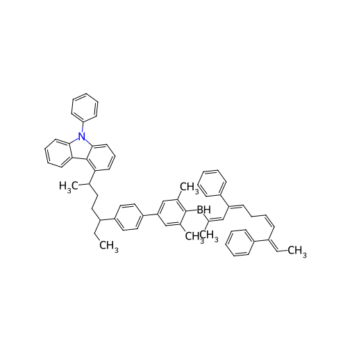 C/C=C(\C=C/C/C=C(\C=C(\C)Bc1c(C)cc(-c2ccc(C(CC)CCC(C)c3cccc4c3c3ccccc3n4-c3ccccc3)cc2)cc1C)c1ccccc1)c1ccccc1